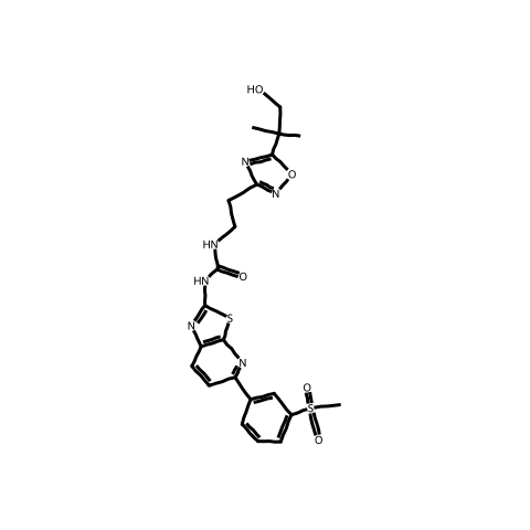 CC(C)(CO)c1nc(CCNC(=O)Nc2nc3ccc(-c4cccc(S(C)(=O)=O)c4)nc3s2)no1